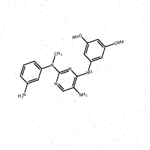 COc1cc(Nc2nc(N(C)c3cccc(N)c3)ncc2N)cc(OC)c1